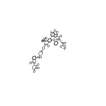 CN(C(=O)c1cc(Oc2ccccc2)c(-c2cn(C)c(=O)c3[nH]c(C(=O)NCCNC(=O)OC(C)(C)C)cc23)cc1NS(C)(=O)=O)C1CC(N2CCC(Nc3cccc4c3CN(C3CCC(=O)NC3=O)C4=O)CC2)C1